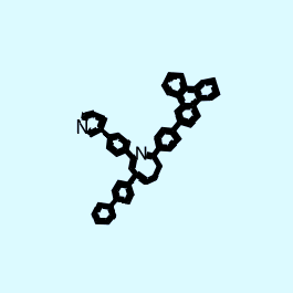 C1=C(c2ccc(-c3cccnc3)cc2)\N=C(\c2ccc(-c3ccc4c5ccccc5c5ccccc5c4c3)cc2)CC\C=C/1c1ccc(-c2ccccc2)cc1